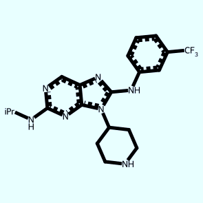 CC(C)Nc1ncc2nc(Nc3cccc(C(F)(F)F)c3)n(C3CCNCC3)c2n1